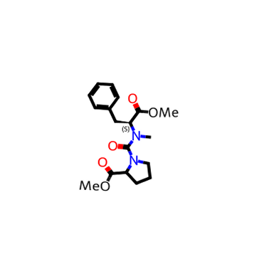 COC(=O)C1CCCN1C(=O)N(C)[C@@H](Cc1ccccc1)C(=O)OC